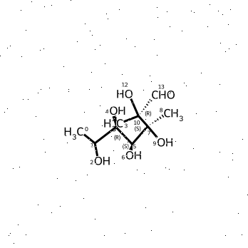 CC(O)[C@@H](O)[C@H](O)[C@](C)(O)[C@@](C)(O)C=O